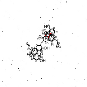 C=CCN1CC[C@]23c4c5ccc(O)c4O[C@H]2[C@@H](O)C=C[C@H]3[C@H]1C5.CO[C@@]12CC[C@@]3(C[C@@H]1[C@](C)(O)C(C)(C)C)[C@H]1Cc4ccc(O)c5c4[C@@]3(CCN1CC1CC1)[C@H]2O5